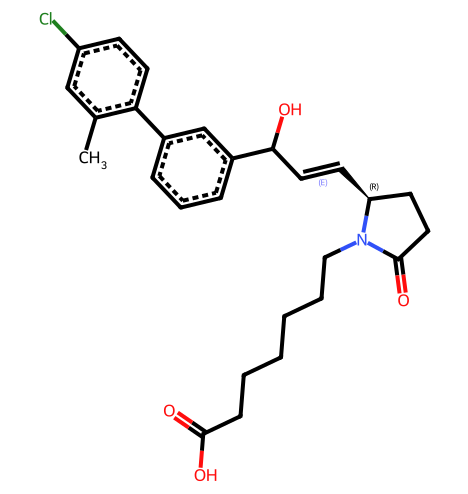 Cc1cc(Cl)ccc1-c1cccc(C(O)/C=C/[C@H]2CCC(=O)N2CCCCCCC(=O)O)c1